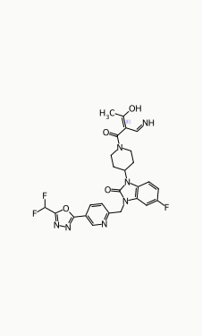 C/C(O)=C(/C=N)C(=O)N1CCC(n2c(=O)n(Cc3ccc(-c4nnc(C(F)F)o4)cn3)c3cc(F)ccc32)CC1